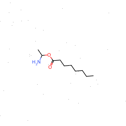 CCCCCCCC(=O)OC(C)N